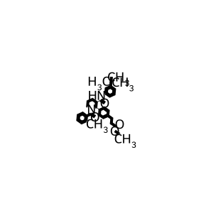 CCOC(=O)CCC1=CCC([C@H]2[C@@H](C(=O)Nc3cccc(C(C)(C)C)c3)CCCN2C(=O)c2ccccc2C)C=C1